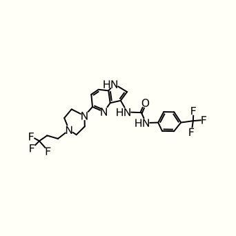 O=C(Nc1ccc(C(F)(F)F)cc1)Nc1c[nH]c2ccc(N3CCN(CCC(F)(F)F)CC3)nc12